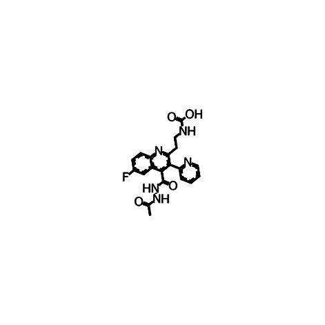 CC(=O)NNC(=O)c1c(-c2ccccn2)c(CCNC(=O)O)nc2ccc(F)cc12